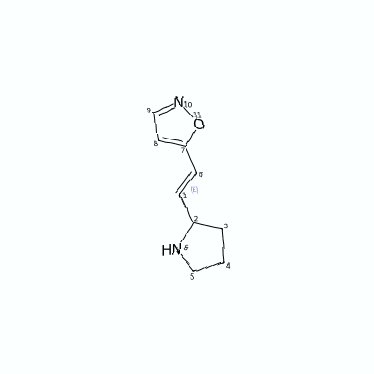 C(=C\C1CCCN1)/c1ccno1